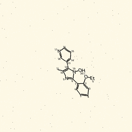 CCOc1ccccc1-c1nc(C)c(-c2cccnc2)n1O